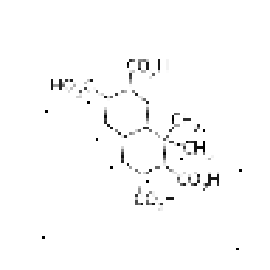 CC1(C)C2CC(C(=O)O)C(C(=O)O)CC2CC(C(=O)O)C1C(=O)O